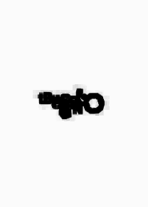 C#Cc1sc([C@@H]2CCCN2C(=O)OC(C)(C)C)nc1/C1=C/C=C\C/C=C\C=C/C1=C